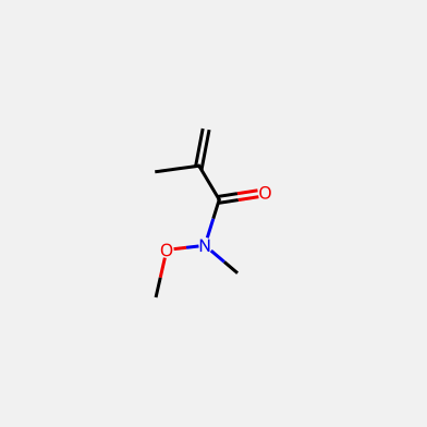 C=C(C)C(=O)N(C)OC